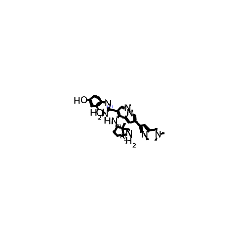 CN(C)Cc1cc(-c2cc3c(N[C@@H]4CC[C@](C)(N)C4(C)C)c(/C(N)=N/c4ccc(O)cc4Cl)cnn3c2)cn1C